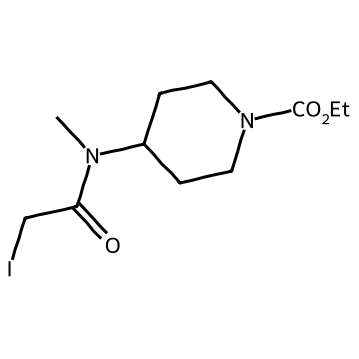 CCOC(=O)N1CCC(N(C)C(=O)CI)CC1